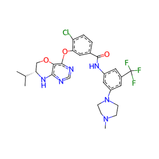 CC(C)[C@@H]1COc2c(ncnc2Oc2cc(C(=O)Nc3cc(N4CCN(C)CC4)cc(C(F)(F)F)c3)ccc2Cl)N1